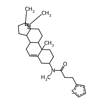 CC1C2CCC3C4CC=C5CC(N(C)C(=O)CCc6cccs6)CCC5(C)C4CCC32CN1C